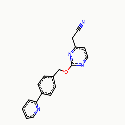 N#CCc1ccnc(OCc2ccc(-c3ccccn3)cc2)n1